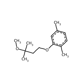 COC(C)(C)CCOc1cc(C)ccc1C